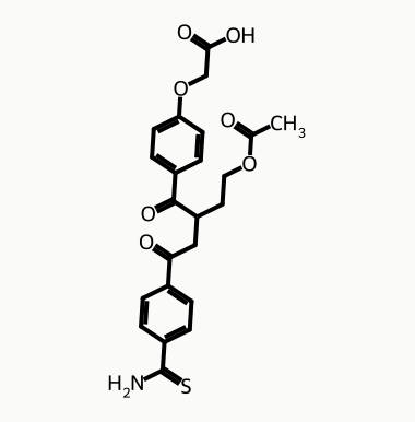 CC(=O)OCCC(CC(=O)c1ccc(C(N)=S)cc1)C(=O)c1ccc(OCC(=O)O)cc1